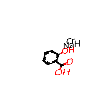 O=C(O)c1ccccc1O.[Cr].[NaH]